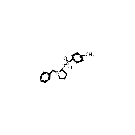 Cc1ccc(S(=O)(=O)O[C@H]2CCCN2Cc2ccccc2)cc1